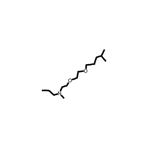 CCCN(C)CCOCCOCCCC(C)C